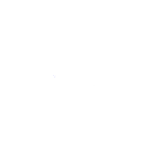 FC(F)(F)c1ccc(CCc2cccc3cccnc23)cc1